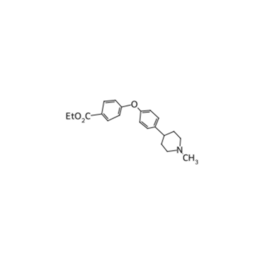 CCOC(=O)c1ccc(Oc2ccc(C3CCN(C)CC3)cc2)cc1